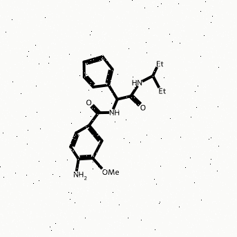 CCC(CC)NC(=O)C(NC(=O)c1ccc(N)c(OC)c1)c1ccccc1